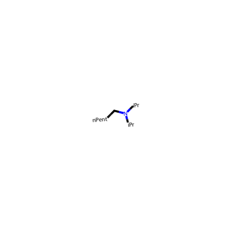 CCC[CH]CCN(C(C)C)C(C)C